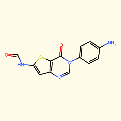 Nc1ccc(-n2cnc3cc(NC=O)sc3c2=O)cc1